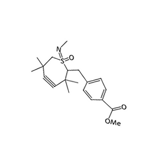 CN=S1(=O)CC(C)(C)C#CC(C)(C)C1Cc1ccc(C(=O)OC)cc1